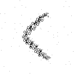 O=P([O-])([O-])[O-].O=P([O-])([O-])[O-].O=P([O-])([O-])[O-].O=P([O-])([O-])[O-].O=P([O-])([O-])[O-].O=P([O-])([O-])[O-].O=P([O-])([O-])[O-].O=P([O-])([O-])[O-].[Al+3].[Al+3].[Al+3].[Li+].[Li+].[Li+].[SiH4].[Ti+4].[Ti+4].[Ti+4]